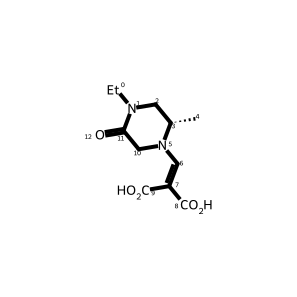 CCN1C[C@H](C)N(C=C(C(=O)O)C(=O)O)CC1=O